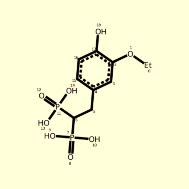 CCOc1cc(CC(P(=O)(O)O)P(=O)(O)O)ccc1O